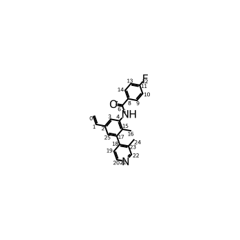 C=Cc1cc(NC(=O)c2ccc(F)cc2)c(C)c(-c2ccncc2C)c1